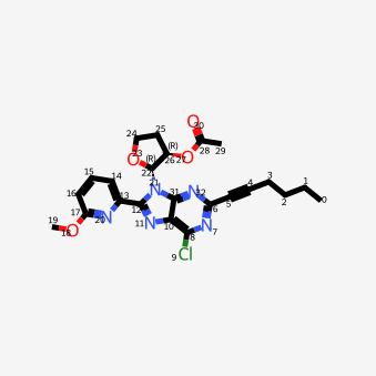 CCCCC#Cc1nc(Cl)c2nc(-c3cccc(OC)n3)n([C@@H]3OCC[C@H]3OC(C)=O)c2n1